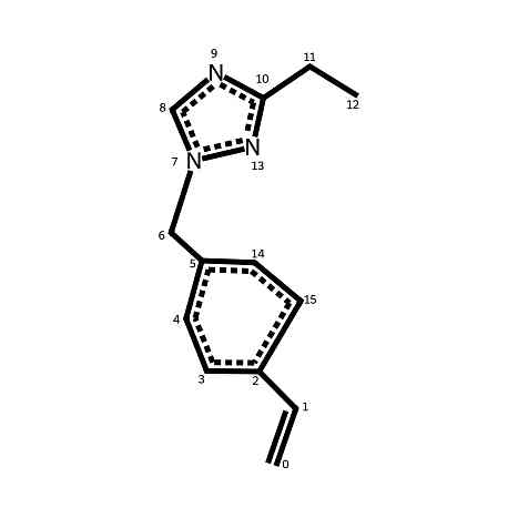 C=Cc1ccc(Cn2cnc(CC)n2)cc1